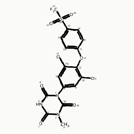 Cn1c(=O)[nH]c(=O)n(-c2cc(Cl)c(Oc3ccc(S(=O)(=O)C(F)(F)F)cc3)c(Cl)c2)c1=O